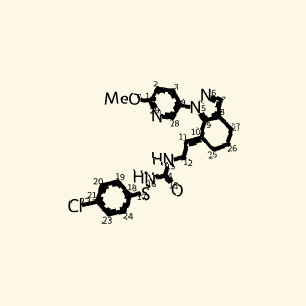 COc1ccc(-n2ncc3c2/C(=C/CNC(=O)NSc2ccc(Cl)cc2)CCC3)cn1